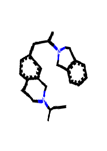 CC(C)N1CCc2ccc(CC(C)N3Cc4ccccc4C3)cc2C1